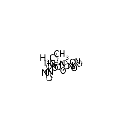 CC(C)CC(NC(=O)Oc1cnc2ccccc2n1)C(=O)N1CCC2C1C(=O)CN2S(=O)(=O)c1ccccn1